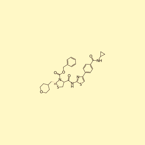 O=C(NC1CC1)c1ccc(-c2csc(NC(=O)C3CS[C@H](CC4CCOCC4)N3C(=O)OCc3ccccc3)n2)cc1